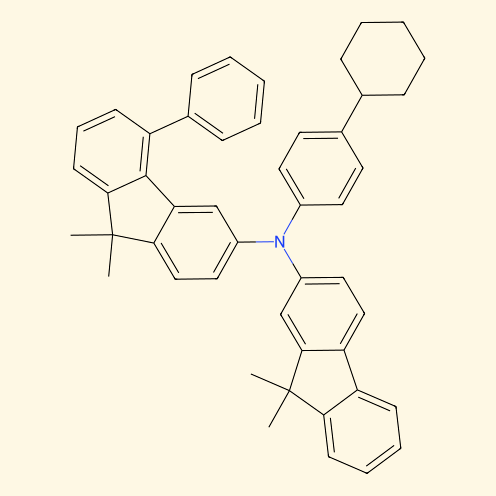 CC1(C)c2ccccc2-c2ccc(N(c3ccc(C4CCCCC4)cc3)c3ccc4c(c3)-c3c(-c5ccccc5)cccc3C4(C)C)cc21